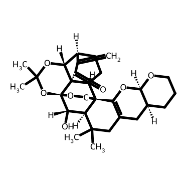 C=C1C(=O)[C@@]23[C@@H]4OC(C)(C)O[C@]25OC[C@]2(C6=C(C[C@@H]7CCCO[C@@H]7O6)CC(C)(C)[C@H]2[C@@H]5O)[C@@H]3CC[C@@H]14